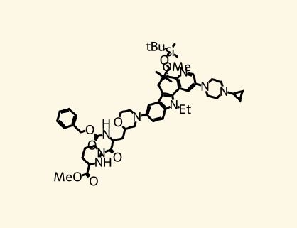 CCn1c(-c2cc(N3CCN(C4CC4)CC3)cnc2[C@H](C)OC)c(CC(C)(C)CO[Si](C)(C)C(C)(C)C)c2cc(N3CCOC(CC(NC(=O)OCc4ccccc4)C(=O)N4CCCC(C(=O)OC)N4)C3)ccc21